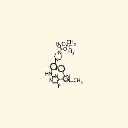 CCn1cc(-c2nc(Nc3ccc(N4CCN(C(=O)OC(C)(C)C)CC4)cc3)ncc2F)c(-c2cccnc2)n1